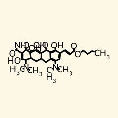 CCCCOC(=O)/C=C/c1cc(N(C)C)c2c(c1O)C(=O)C1=C(O)C3(O)C(=O)C(C(N)=O)=C(O)C(N(C)C)C3CC1C2